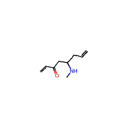 C=CCC(CC(=O)C=C)NC